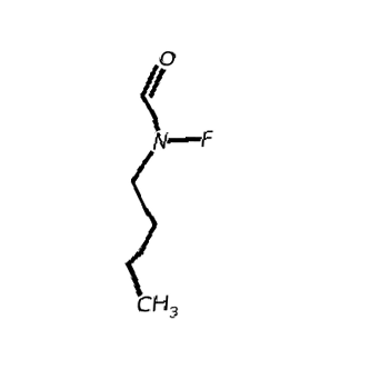 CCCCN(F)C=O